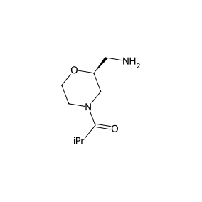 CC(C)C(=O)N1CCO[C@@H](CN)C1